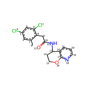 Cc1cc(Cl)cc(Cl)c1CC(=O)NC1CCOc2ncccc21